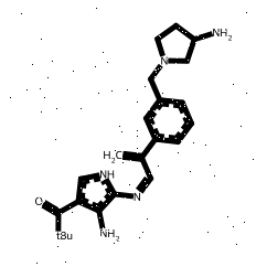 C=C(/C=N\c1[nH]cc(C(=O)C(C)(C)C)c1N)c1cccc(CN2CCC(N)C2)c1